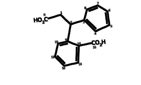 O=C(O)CC(c1ccccc1)c1ccccc1C(=O)O